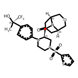 C[C@@](O)(c1ccc(N2CCN(S(=O)(=O)c3cccs3)C[C@@H]2CN2[C@@H]3COC[C@H]2CC(=O)C3)cc1)C(F)(F)F